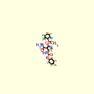 CC(Oc1nsc(NC(=O)Oc2ccccc2)c1C(N)=O)c1c(F)cccc1F